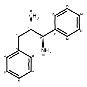 C[C@@H](Cc1ccccc1)[C@H](N)c1ccccc1